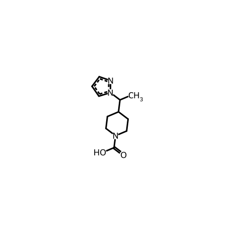 CC(C1CCN(C(=O)O)CC1)n1cccn1